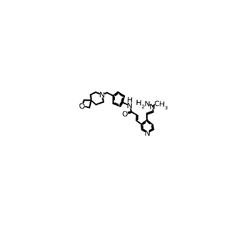 CN(N)/C=C/c1ccncc1/C=C/C(=O)Nc1ccc(CN2CCC3(CC2)COC3)cc1